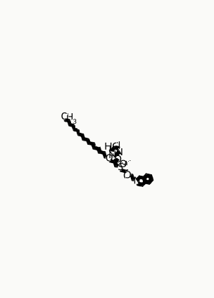 CCCCCCCCCCCCCCCCCCOCC(C[S+]([O-])CCOCCN1C=Cc2ccccc2C1)Oc1ncccn1.Cl